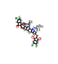 CCCCC(CC)Cn1c2cc(C=C3C(=O)c4cc(F)c(F)cc4C3=O)sc2c2sc3c4sc(C=C5C(=O)c6cc(F)c(F)cc6C5=O)cc4n(CC(CC)CCCC)c3c21